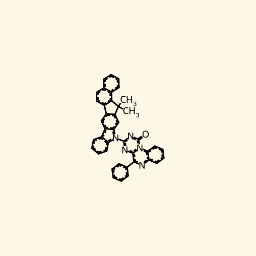 CC1(C)c2cc3c(cc2-c2ccc4ccccc4c21)c1ccccc1n3-c1nc(=O)n2c(n1)c(-c1ccccc1)nc1ccccc12